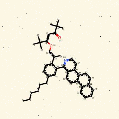 CCCCCCc1ccc(/C(C)=C/O/C(=C\C(=O)C(C)(C)C)C(C)(C)C)c(-c2nccc3c2ccc2c4ccccc4ccc32)c1